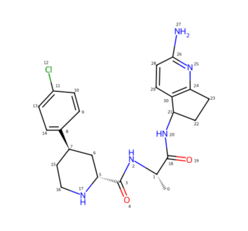 C[C@H](NC(=O)[C@H]1C[C@H](c2ccc(Cl)cc2)CCN1)C(=O)NC1CCc2nc(N)ccc21